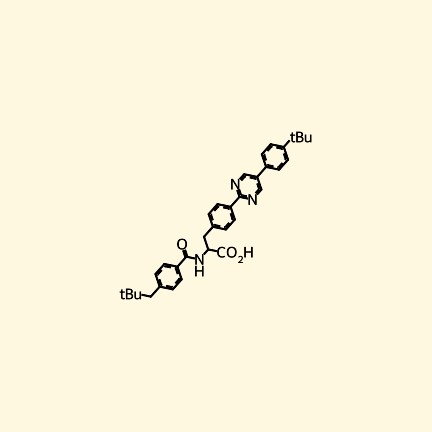 CC(C)(C)Cc1ccc(C(=O)NC(Cc2ccc(-c3ncc(-c4ccc(C(C)(C)C)cc4)cn3)cc2)C(=O)O)cc1